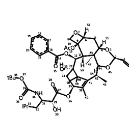 C=C[C@@H]1O[C@H]2C[C@H]3OC[C@@]3(OC(C)=O)[C@H]3[C@H](OC(=O)c4ccccc4)[C@]4(O)C[C@H](OC(=O)[C@H](O)C(CC(C)C)NC(=O)OC(C)(C)C)C(C)=C([C@H](C)[C@H](O1)[C@]23C)C4(C)C